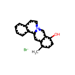 Cc1ccc(O)c2c[n+]3ccc4ccccc4c3cc12.[Br-]